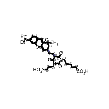 CCN(CC)c1ccc2c(c1)OC1=C/C(=C/C=C3/C(=O)N(CCCCCC(=O)O)C(=O)N(CCCS(=O)(=O)O)C3=O)CC(C)(C)C1=C2